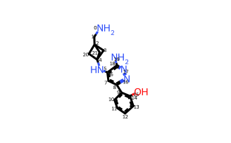 NCC12CC(Nc3cc(-c4ccccc4O)nnc3N)(C1)C2